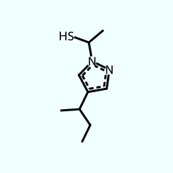 CCC(C)c1cnn(C(C)S)c1